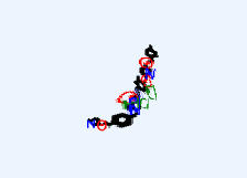 Cc1ccc(COc2ccc(Oc3c(C)cc(/C=C/C(=O)N4CCN(Cc5ccc(CCOc6ccc(C)nc6)cc5)CC4)cc3Cl)nc2)cc1.Cl